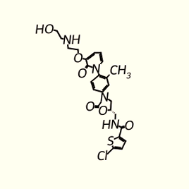 Cc1cc(N2C[C@H](CNC(=O)c3ccc(Cl)s3)OC2=O)ccc1-n1cccc(OCCNCCO)c1=O